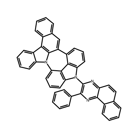 c1ccc(-c2nc3c(ccc4ccccc43)nc2-n2c3cccc4c5cc6ccccc6c6c7ccccc7n(c7cccc2c7c43)c56)cc1